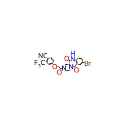 N#Cc1ccc(OCC(=O)N2CCN3C(=O)c4cc(Br)ccc4NC(=O)C3C2)cc1C(F)(F)F